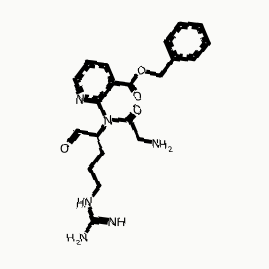 N=C(N)NCCC[C@@H]([C]=O)N(C(=O)CN)c1ncccc1C(=O)OCc1ccccc1